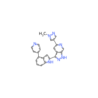 Cn1cc(-c2cc3c(-c4cc5c(-c6ccncc6)cccc5[nH]4)n[nH]c3cn2)cn1